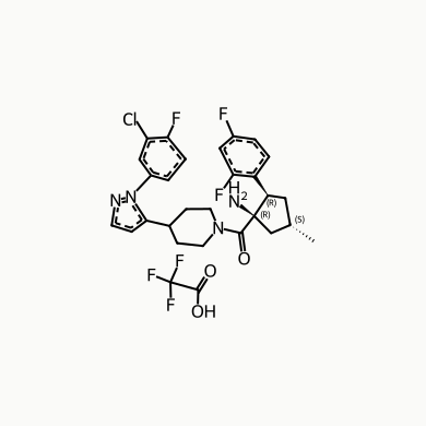 C[C@H]1C[C@H](c2ccc(F)cc2F)[C@@](N)(C(=O)N2CCC(c3ccnn3-c3ccc(F)c(Cl)c3)CC2)C1.O=C(O)C(F)(F)F